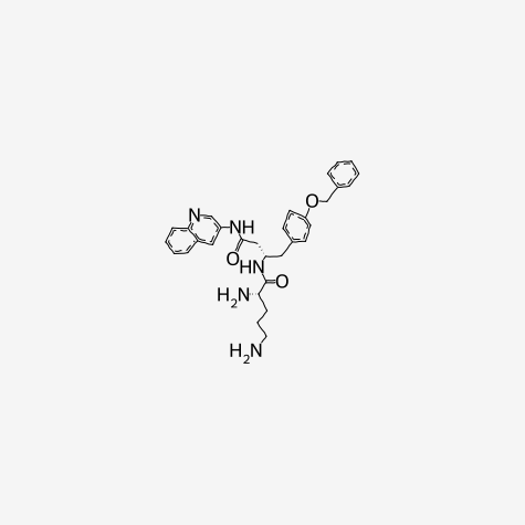 NCCC[C@H](N)C(=O)N[C@H](CC(=O)Nc1cnc2ccccc2c1)Cc1ccc(OCc2ccccc2)cc1